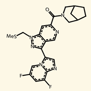 CSCn1nc(-c2cnc3c(F)cc(F)cn23)c2cnc(C(=O)N3CC4CCC(C4)C3)cc21